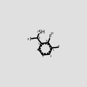 Cc1cccc(C(S)I)c1F